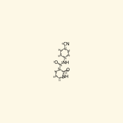 N#Cc1ccc(NC(=O)c2ccc[nH]c2=O)cc1